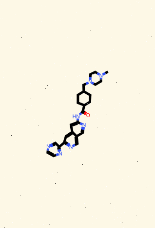 CN1CCN(CC2CCC(C(=O)Nc3cc4cc(-c5cnccn5)ncc4cn3)CC2)CC1